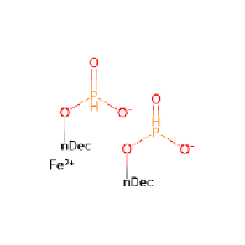 CCCCCCCCCCO[PH](=O)[O-].CCCCCCCCCCO[PH](=O)[O-].[Fe+2]